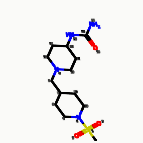 CS(=O)(=O)N1CCC(CN2CCC(NC(N)=O)CC2)CC1